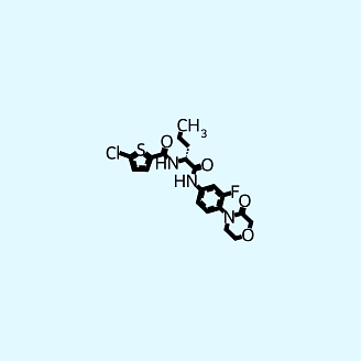 CCC[C@@H](NC(=O)c1ccc(Cl)s1)C(=O)Nc1ccc(N2CCOCC2=O)c(F)c1